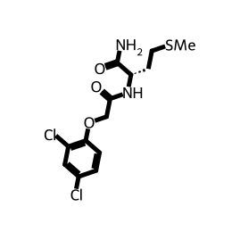 CSCC[C@H](NC(=O)COc1ccc(Cl)cc1Cl)C(N)=O